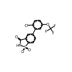 O=C1NS(=O)(=O)c2ccc(-c3cc(OC(F)(F)F)ccc3Cl)cc21